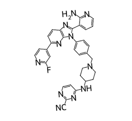 N#Cc1nccc(NC2CCN(Cc3ccc(-n4c(-c5cccnc5N)nc5ccc(-c6ccnc(F)c6)nc54)cc3)CC2)n1